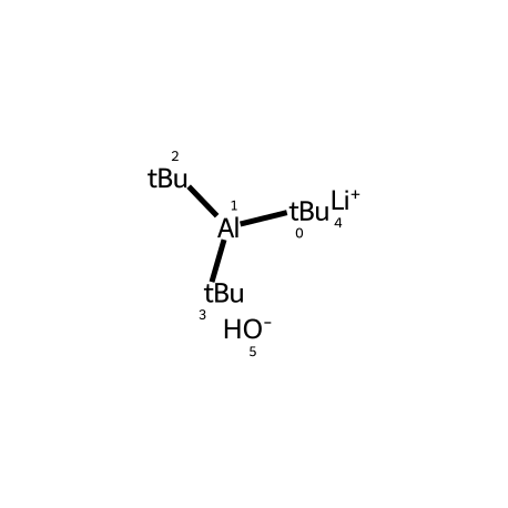 C[C](C)(C)[Al]([C](C)(C)C)[C](C)(C)C.[Li+].[OH-]